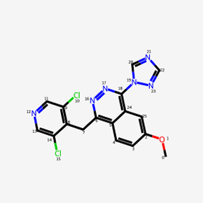 COc1ccc2c(Cc3c(Cl)cncc3Cl)nnc(-n3cncn3)c2c1